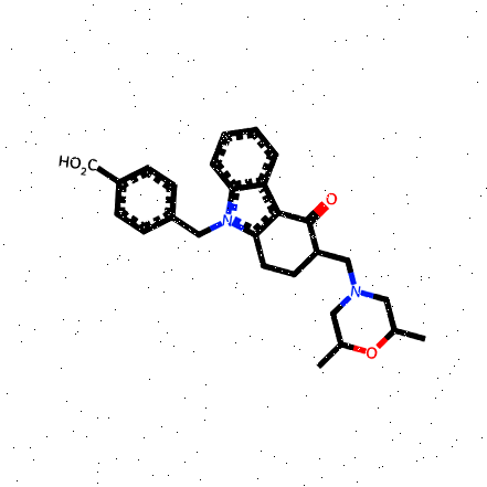 CC1CN(CC2CCc3c(c4ccccc4n3Cc3ccc(C(=O)O)cc3)C2=O)CC(C)O1